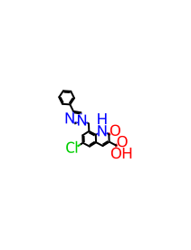 O=C(O)c1cc2cc(Cl)cc(Cn3cnc(-c4ccccc4)c3)c2[nH]c1=O